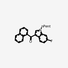 CCCCCn1cc(C(=O)c2cccc3ccccc23)c2ccc(F)cc21